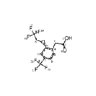 O=C(O)Cc1ccc(C(F)(F)F)cc1OCC(F)(F)F